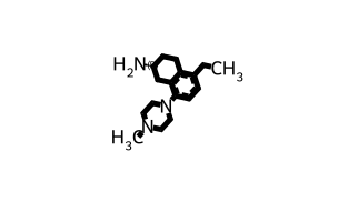 CCc1ccc(N2CCN(C)CC2)c2c1CC[C@@H](N)C2